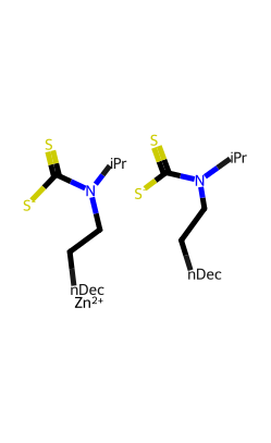 CCCCCCCCCCCCN(C(=S)[S-])C(C)C.CCCCCCCCCCCCN(C(=S)[S-])C(C)C.[Zn+2]